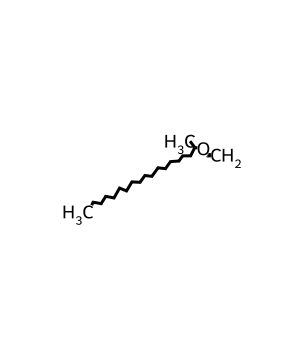 C=COC(C)CCCCCCCCCCCCCCCCC